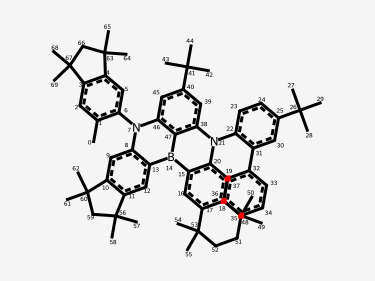 Cc1cc2c(cc1N1c3cc4c(cc3B3c5cc6c(cc5N(c5ccc(C(C)(C)C)cc5-c5ccccc5)c5cc(C(C)(C)C)cc1c53)C(C)(C)CCC6(C)C)C(C)(C)CC4(C)C)C(C)(C)CC2(C)C